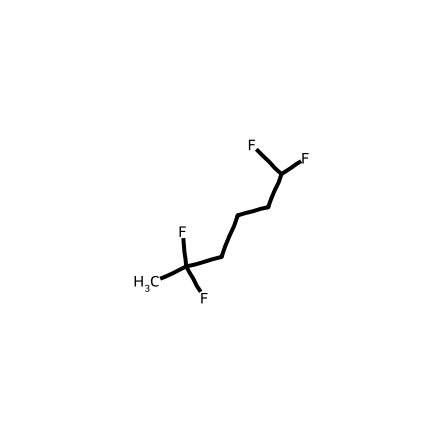 CC(F)(F)CCCC(F)F